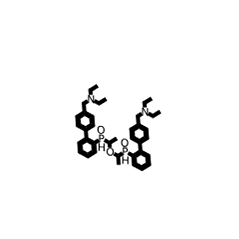 CCN(CC)Cc1ccc(-c2ccccc2[PH](=O)C(C)OC(C)[PH](=O)c2ccccc2-c2ccc(CN(CC)CC)cc2)cc1